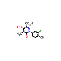 Cc1c(O)c(C(=O)O)nn(-c2ccc(C#N)c(F)c2)c1=O